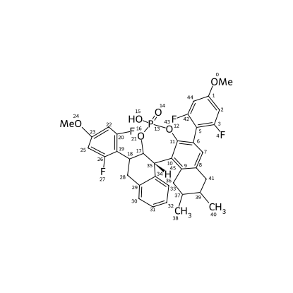 COc1cc(F)c(-c2cc3c(c4c2OP(=O)(O)OC2C(c5c(F)cc(OC)cc5F)Cc5ccccc5[C@@H]42)CC(C)C(C)C3)c(F)c1